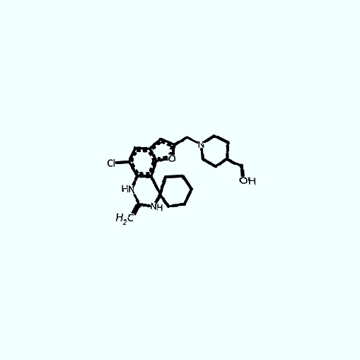 C=C1Nc2c(Cl)cc3cc(CN4CCC(CO)CC4)oc3c2C2(CCCCC2)N1